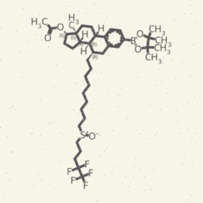 CC(=O)O[C@H]1CC[C@H]2[C@@H]3[C@H](CCCCCCCCC[S+]([O-])CCCC(F)(F)C(F)(F)F)Cc4cc(B5OC(C)(C)C(C)(C)O5)ccc4[C@H]3CC[C@]12C